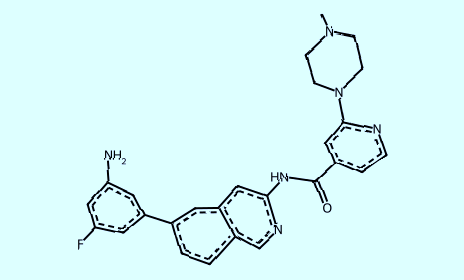 CN1CCN(c2cc(C(=O)Nc3cc4cc(-c5cc(N)cc(F)c5)ccc4cn3)ccn2)CC1